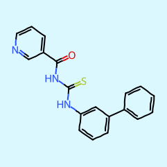 O=C(NC(=S)Nc1cccc(-c2ccccc2)c1)c1cccnc1